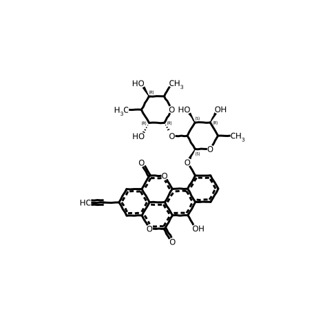 C#Cc1cc2oc(=O)c3c(O)c4cccc(O[C@@H]5OC(C)[C@H](O)[C@H](O)C5O[C@H]5OC(C)[C@H](O)C(C)[C@H]5O)c4c4oc(=O)c(c1)c2c34